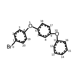 Brc1ccc(Oc2ccc(Oc3ccccc3)cc2)cc1